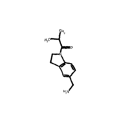 CC(C)C(=O)N1CCc2cc(CN)ccc21